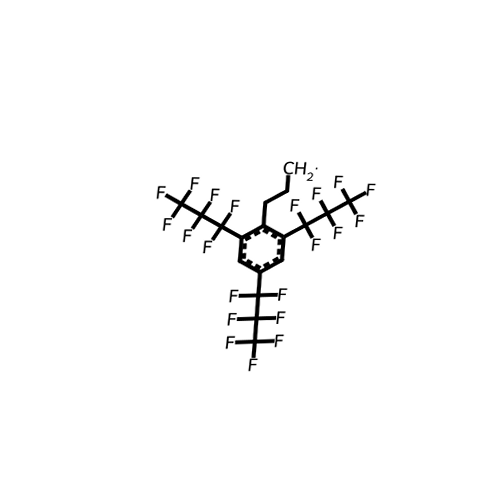 [CH2]CCc1c(C(F)(F)C(F)(F)C(F)(F)F)cc(C(F)(F)C(F)(F)C(F)(F)F)cc1C(F)(F)C(F)(F)C(F)(F)F